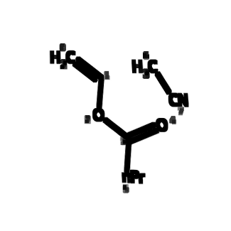 C=COC(=O)CCC.CC#N